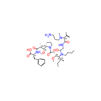 C=C(C)[C@@H](C(=O)NCC(O)N(CCCC)[C@@H]([C@@H](C)CC)[C@@H](CC(=O)N1CCC[C@H]1[C@H](OC)[C@@H](C)C(=O)N[C@@H](Cc1ccccc1)C(=O)O)OC)N(C)CCCN